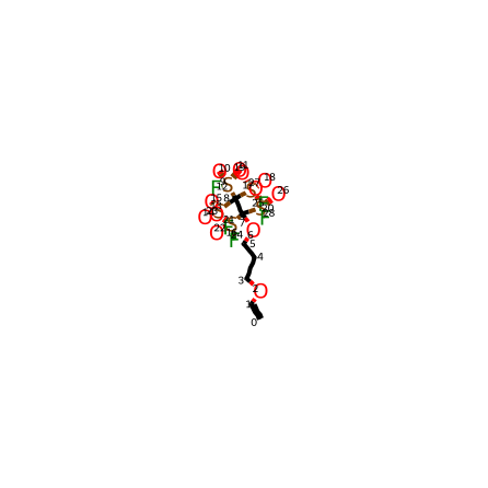 C=COCCCOC(C(S(=O)(=O)F)(S(=O)(=O)F)S(=O)(=O)F)(S(=O)(=O)F)S(=O)(=O)F